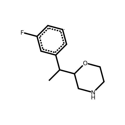 CC(c1c[c]cc(F)c1)C1CNCCO1